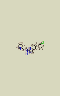 Cc1c(Cl)cccc1-c1ccc2nc(NCCc3ccccn3)ncc2c1